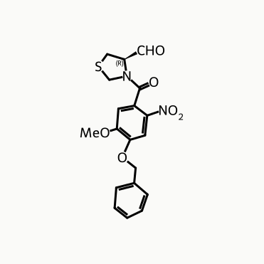 COc1cc(C(=O)N2CSC[C@H]2C=O)c([N+](=O)[O-])cc1OCc1ccccc1